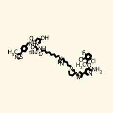 Cc1ncsc1-c1ccc(CNC(=O)[C@@H]2C[C@@H](O)CN2C(=O)C(NC(=O)CCCCCCCn2cc(CCCN3CCCC(n4cc(-c5cnc(N)c(OC(C)c6c(Cl)ccc(F)c6Cl)c5)cn4)C3)nn2)C(C)(C)C)cc1